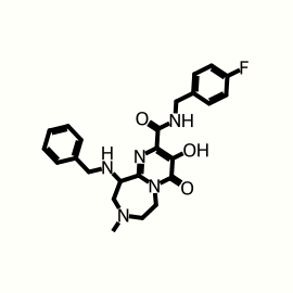 CN1CCn2c(nc(C(=O)NCc3ccc(F)cc3)c(O)c2=O)C(NCc2ccccc2)C1